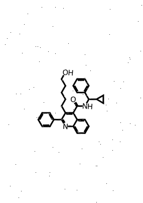 O=C(NC(c1ccccc1)C1CC1)c1c(CCCCCO)c(-c2ccccc2)nc2ccccc12